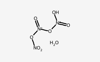 O.O=[N+]([O-])O[N+](=O)O[N+](=O)O